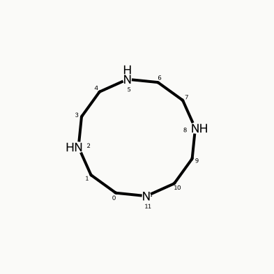 C1CNCCNCCNCC[N]1